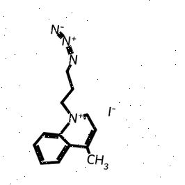 Cc1cc[n+](CCCN=[N+]=[N-])c2ccccc12.[I-]